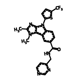 Cc1nc2c(c3cc(C(=O)NCc4ccncn4)ccc3n2-c2ccc(C(F)(F)F)s2)n1C